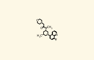 C[C@H]1C[C@@H](N(C)C(=O)CN2CCOCC2)CN(c2ccc(F)c3ncccc23)C1